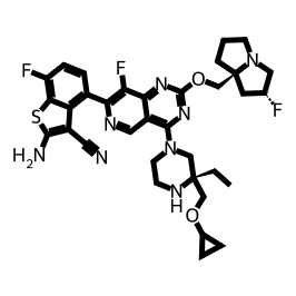 CC[C@]1(COC2CC2)CN(c2nc(OC[C@@]34CCCN3C[C@H](F)C4)nc3c(F)c(-c4ccc(F)c5sc(N)c(C#N)c45)ncc23)CCN1